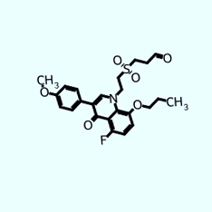 CCCOc1ccc(F)c2c(=O)c(-c3ccc(OC)cc3)cn(CCS(=O)(=O)CCC=O)c12